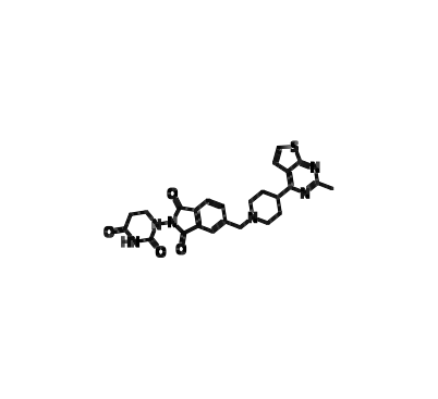 Cc1nc(C2CCN(Cc3ccc4c(c3)C(=O)N(N3CCC(=O)NC3=O)C4=O)CC2)c2ccsc2n1